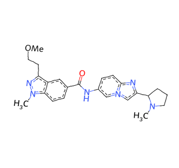 COCCc1nn(C)c2ccc(C(=O)Nc3ccc4nc(C5CCCN5C)cn4c3)cc12